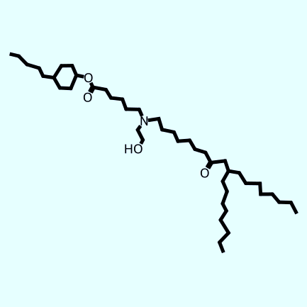 CCCCCCCCC(CCCCCCCC)CC(=O)CCCCCCCN(CCO)CCCCCC(=O)OC1CCC(CCCCC)CC1